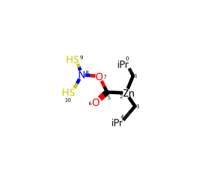 CC(C)[CH2][Zn]([CH2]C(C)C)[C](=O)ON(S)S